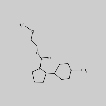 COCCOC(=O)N1CCCC1C1CCN(C)CC1